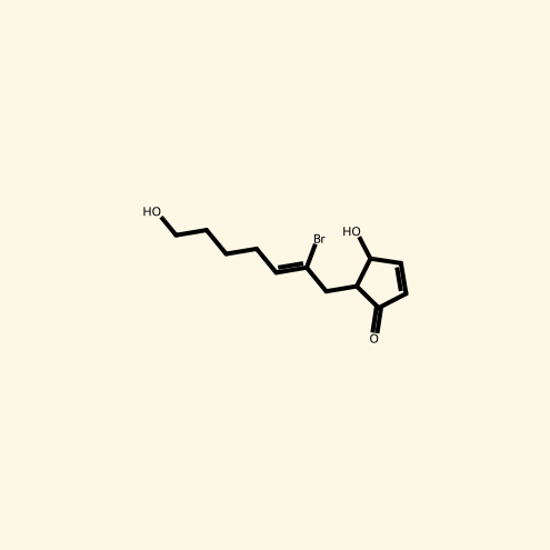 O=C1C=CC(O)C1CC(Br)=CCCCCO